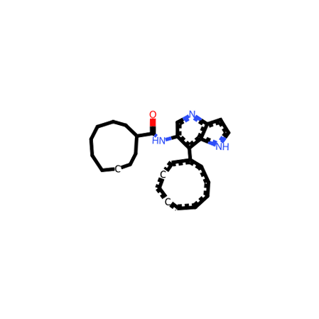 O=C(Nc1cnc2cc[nH]c2c1-c1ccccccccc1)C1CCCCCCCCC1